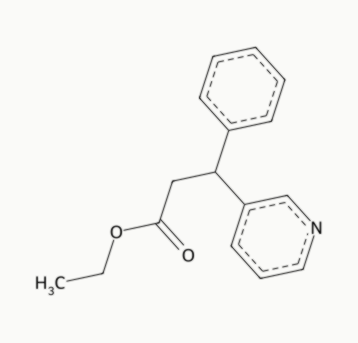 CCOC(=O)CC(c1ccccc1)c1cccnc1